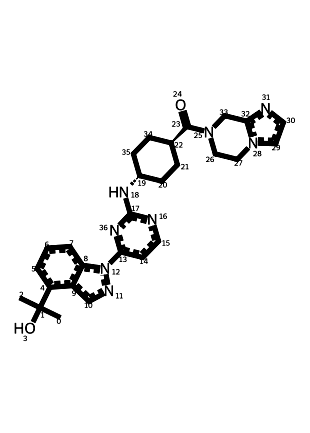 CC(C)(O)c1cccc2c1cnn2-c1ccnc(N[C@H]2CC[C@H](C(=O)N3CCn4ccnc4C3)CC2)n1